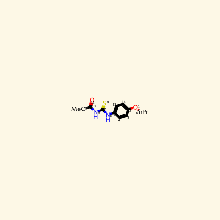 CCCOc1ccc(NC(=S)NC(=O)OC)cc1